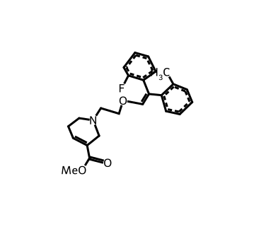 COC(=O)C1=CCCN(CCOC=C(c2ccccc2C)c2ccccc2F)C1